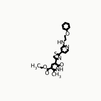 CCOC(=O)c1cc(-c2csc(-c3ccnc(NCCOc4ccccc4)c3)n2)c(=O)[nH]c1C